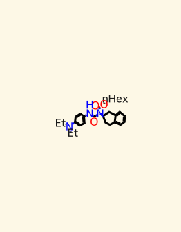 CCCCCCOC(=O)N(C(=O)Nc1ccc(N(CC)CC)cc1)C1CCc2ccccc2C1